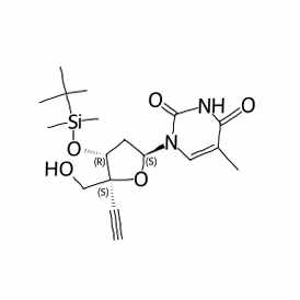 C#C[C@@]1(CO)O[C@H](n2cc(C)c(=O)[nH]c2=O)C[C@H]1O[Si](C)(C)C(C)(C)C